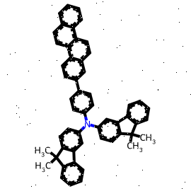 CC1(C)c2ccccc2-c2cc(N(c3ccc(-c4ccc5c(ccc6c7ccccc7ccc56)c4)cc3)c3ccc4c(c3)-c3ccccc3C4(C)C)ccc21